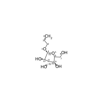 C=CCO[C@H]1OC(CO)[C@@H](O)[C@H](O)C1O